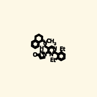 CCc1cccc(CC)c1-c1ncc(CN(C)[C@H]2CCCc3ccccc32)c(-n2ccc(=O)[nH]2)n1